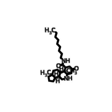 CCCCCCCCCNC(=O)C1CC(=O)C=C2NC[C@H]3[C@@H]4CCC[C@@]4(C)CC[C@@H]3[C@]21C